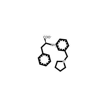 N[C@@H](Cc1ccccc1)C(=O)[O-].c1ccc(C[S+]2CCCC2)cc1